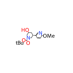 COc1ccc([C@@H]2C[C@H](O)CN(C(=O)OC(C)(C)C)C2)cn1